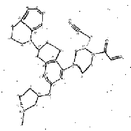 C=CC(=O)N1CCN(c2nc(OC3CCCN(C)C3)nc3c2CCC(N2CCCc4ccccc42)C3)C[C@@H]1CC#N